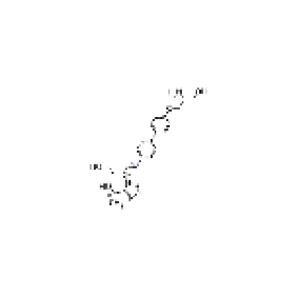 C[C@H](O)c1nccn1[C@@H](/C=C/c1ccc(-c2ccc(OCC(N)CO)cc2)cc1)CCO